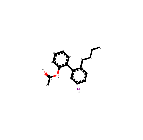 CCCCc1ccccc1-c1ccccc1OC(C)=O.I